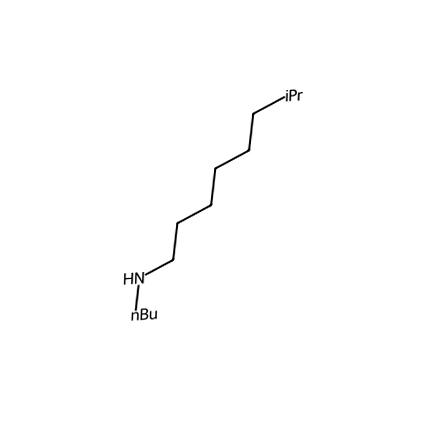 CCCCNCCCCCCC(C)C